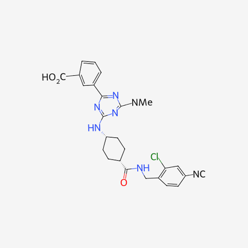 [C-]#[N+]c1ccc(CNC(=O)[C@H]2CC[C@@H](Nc3nc(NC)nc(-c4cccc(C(=O)O)c4)n3)CC2)c(Cl)c1